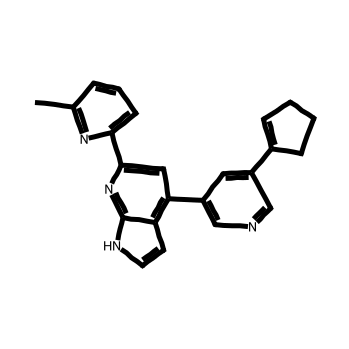 Cc1cccc(-c2cc(-c3cncc(C4=CCCC4)c3)c3cc[nH]c3n2)n1